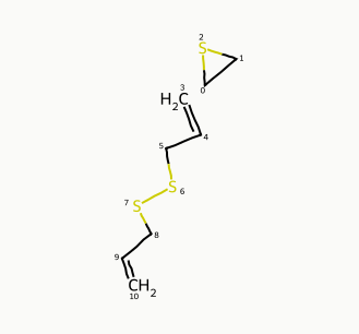 C1CS1.C=CCSSCC=C